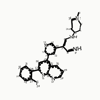 CN1CCC(N/C=C(\C=N)c2cncc(-c3cc(-c4ccccc4F)nc4ncccc34)c2)CC1